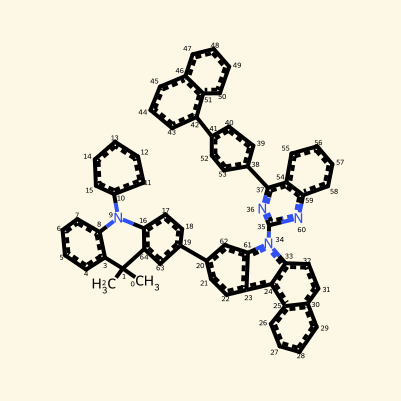 CC1(C)c2ccccc2N(c2ccccc2)c2ccc(-c3ccc4c5c6ccccc6ccc5n(-c5nc(-c6ccc(-c7cccc8ccccc78)cc6)c6ccccc6n5)c4c3)cc21